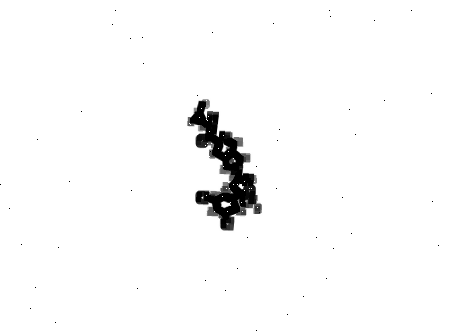 CC1CC1NC(=O)c1cc2c(cn1)CN(C1=NOC(c3cc(Cl)cc(Cl)c3)(C(F)(F)F)C1)C2